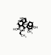 CCN1N=C([C@H]2[C@H]3CC[C@](O)(C3)C[C@H]2C)c2c(cnc3[nH]ccc23)B1O